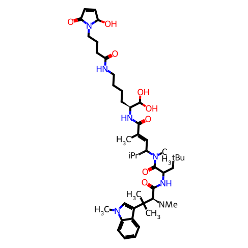 CN[C@H](C(=O)NC(CC(C)(C)C)C(=O)N(C)C(/C=C(\C)C(=O)N[C@@H](CCCCNC(=O)CCCN1C(=O)C=CC1O)C(O)O)C(C)C)C(C)(C)c1cn(C)c2ccccc12